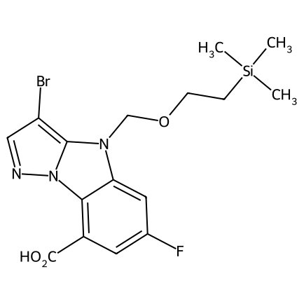 C[Si](C)(C)CCOCn1c2cc(F)cc(C(=O)O)c2n2ncc(Br)c12